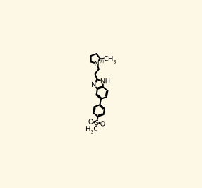 C[C@@H]1CCCN1CCc1nc2cc(-c3ccc(S(C)(=O)=O)cc3)ccc2[nH]1